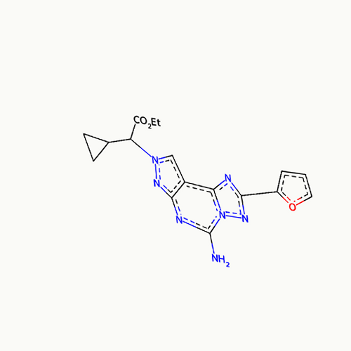 CCOC(=O)C(C1CC1)n1cc2c(nc(N)n3nc(-c4ccco4)nc23)n1